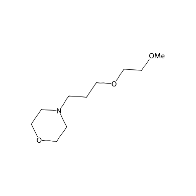 COCCOCCCN1CCOCC1